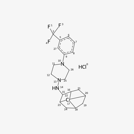 Cl.FC(F)(F)c1cccc(N2CCN(NC3C4CC5CC(C4)CC3C5)CC2)c1